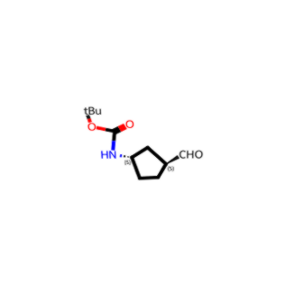 CC(C)(C)OC(=O)N[C@H]1CC[C@H](C=O)C1